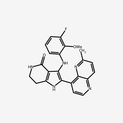 COc1c(F)cccc1Nc1c(-c2ccnc3ccc(C)nc23)[nH]c2c1C(=O)NCC2